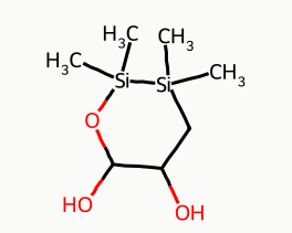 C[Si]1(C)CC(O)C(O)O[Si]1(C)C